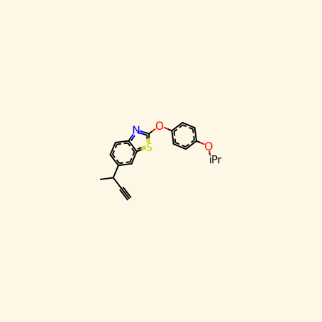 C#CC(C)c1ccc2nc(Oc3ccc(OC(C)C)cc3)sc2c1